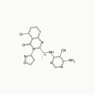 C[C@@H](Nc1ncnc(N)c1C#N)c1nc2cccc(Cl)c2c(=O)n1-c1ccon1